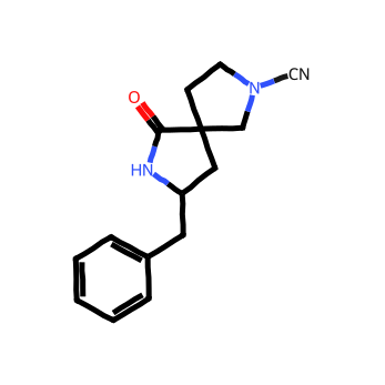 N#CN1CCC2(CC(Cc3ccccc3)NC2=O)C1